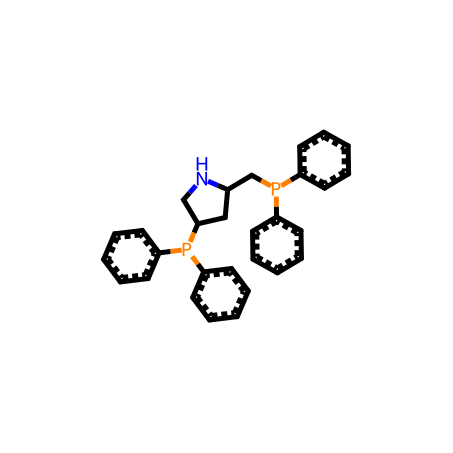 c1ccc(P(CC2CC(P(c3ccccc3)c3ccccc3)CN2)c2ccccc2)cc1